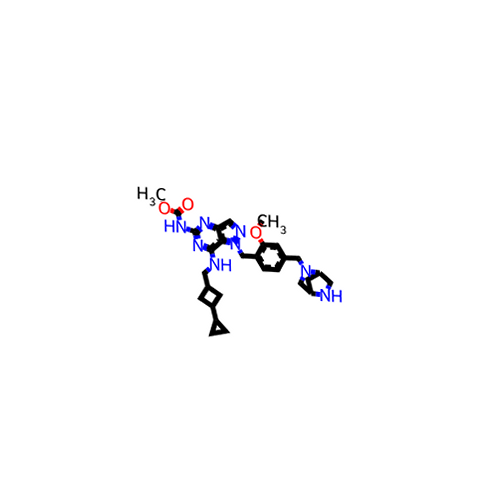 COC(=O)Nc1nc(NCC2CC(C3CC3)C2)c2c(cnn2Cc2ccc(CN3CC4CC3CN4)cc2OC)n1